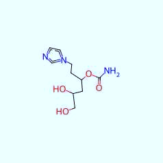 NC(=O)OC(CCn1ccnc1)CC(O)CO